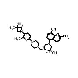 Bc1ccc2c(N3C[C@H](CN4CCN(c5ccc(N6CC(C)(N)C6)c(C)n5)CC4)O[C@H](C)C3)ccc(C#N)c2n1